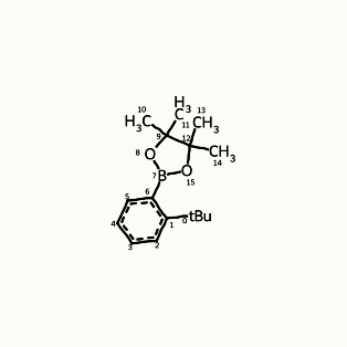 CC(C)(C)c1ccccc1B1OC(C)(C)C(C)(C)O1